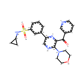 O=C(c1cccnc1)c1nc(-c2cccc(S(=O)(=O)NC3CC3)c2)cnc1N1CCOCC1